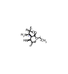 CCOC(=O)/C(C(=N)C(F)F)=C(/N)C(F)(F)Cl